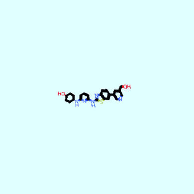 OCc1cncc(-c2ccc3nc(Nc4cccc(N[C@H]5CC[C@H](O)CC5)n4)sc3c2)c1